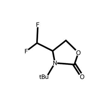 CC(C)(C)N1C(=O)OCC1C(F)F